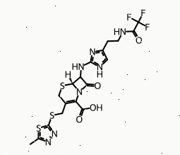 Cc1nnc(SCC2=C(C(=O)O)N3C(=O)C(Nc4nc(CCNC(=O)C(F)(F)F)c[nH]4)[C@H]3SC2)s1